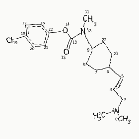 CN(C)CC=CC1CCC(N(C)C(=O)Oc2ccc(Cl)cc2)CC1